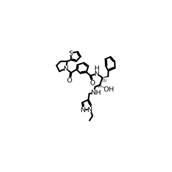 CCn1cc(CNC[C@@H](O)[C@H](Cc2ccccc2)NC(=O)c2cccc(C(=O)N3CCCC3c3cccs3)c2)cn1